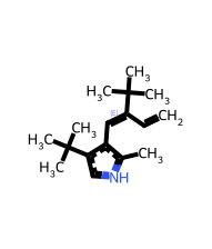 C=C/C(=C\c1c(C(C)(C)C)c[nH]c1C)C(C)(C)C